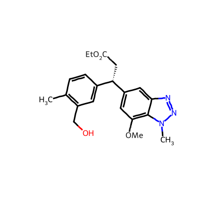 CCOC(=O)C[C@@H](c1ccc(C)c(CO)c1)c1cc(OC)c2c(c1)nnn2C